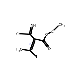 CCOC(=O)/C(C(=N)Cl)=C(/C)I